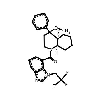 CO[C@]1(c2ccccc2)CCN(C(=O)c2cccc3ncn(CC(F)(F)F)c23)[C@@H]2CCCC[C@@H]21